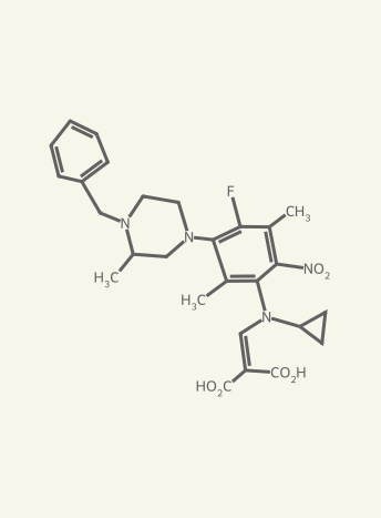 Cc1c(N2CCN(Cc3ccccc3)C(C)C2)c(F)c(C)c([N+](=O)[O-])c1N(C=C(C(=O)O)C(=O)O)C1CC1